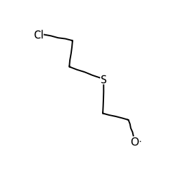 [O]CCSCCCl